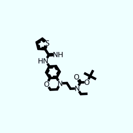 CCN(CCN1CCOc2cc(NC(=N)c3cccs3)ccc21)C(=O)OC(C)(C)C